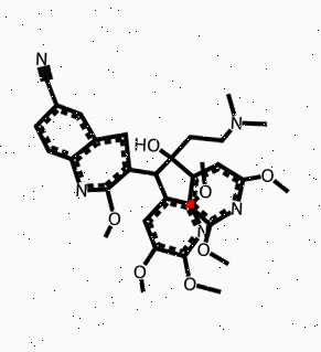 COc1cc(C(O)(CCN(C)C)C(c2cc(OC)c(OC)nc2OC)c2cc3cc(C#N)ccc3nc2OC)cc(OC)n1